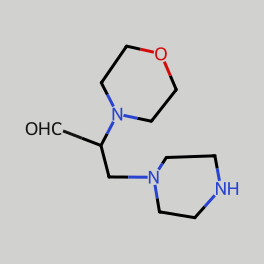 O=CC(CN1CCNCC1)N1CCOCC1